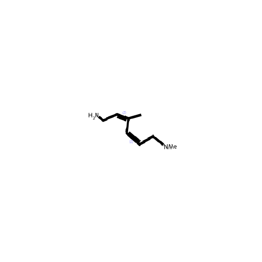 CNC/C=C\C(C)=C/CN